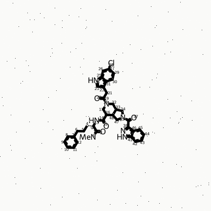 CNC(=O)[C@H](CCCc1ccccc1)NC(=O)C1CN(C(=O)Cc2c[nH]c3cc(Cl)ccc23)CC2CN(C(=O)c3n[nH]c4ccccc34)CC21